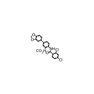 O=C(Nc1ccc(-c2ccc3c(c2)OCO3)cc1C(=O)O)c1ccc(Cl)cc1Cl